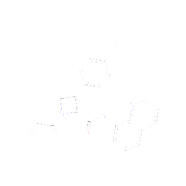 C#Cc1ccc(C2CN(C(=O)C=C)C2C(=O)Nc2cccc3cccnc23)cc1